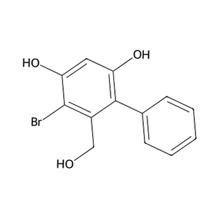 OCc1c(Br)c(O)cc(O)c1-c1ccccc1